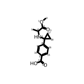 COC(=O)C(C)NC1(c2ccc(C(=O)O)cc2)CC1